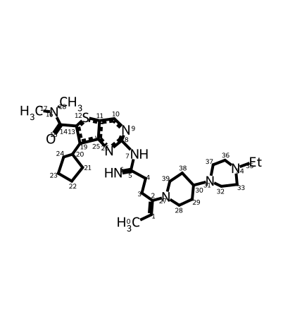 C/C=C(\CCC(=N)Nc1ncc2sc(C(=O)N(C)C)c(C3CCCC3)c2n1)N1CCC(N2CCN(CC)CC2)CC1